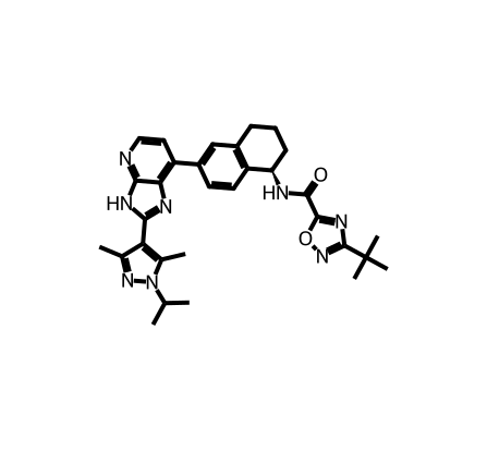 Cc1nn(C(C)C)c(C)c1-c1nc2c(-c3ccc4c(c3)CCC[C@H]4NC(=O)c3nc(C(C)(C)C)no3)ccnc2[nH]1